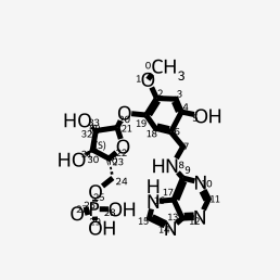 COc1cc(O)c(CNc2ncnc3nc[nH]c23)cc1OC1O[C@H](COP(=O)(O)O)[C@@H](O)[C@H]1O